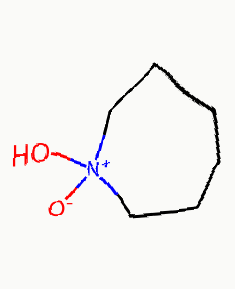 [O-][N+]1(O)CCCCCC1